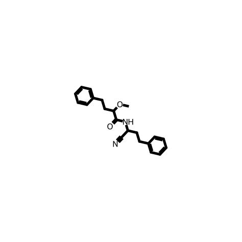 COC(CCc1ccccc1)C(=O)NC(C#N)CCc1ccccc1